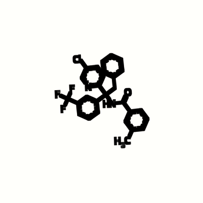 Cc1cccc(C(=O)NC(Cc2ccccc2)(c2cccc(C(F)(F)F)c2)c2ccc(Cl)cn2)c1